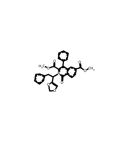 COC(=O)c1ccc2c(=O)n(C(Cc3ccccc3)C3=COCO3)c(C(=O)OC)c(-c3ccccc3)c2c1